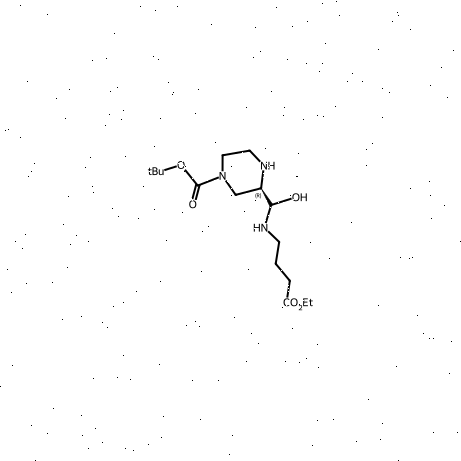 CCOC(=O)CCCNC(O)[C@H]1CN(C(=O)OC(C)(C)C)CCN1